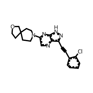 Clc1ccccc1C#Cc1n[nH]c2nc(N3CCC4(CCOC4)CC3)cnc12